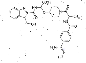 CC(NC(=O)c1ccc(/C(N)=N/O)cc1)C(=O)N1CCC(OC(NC(=O)C2=Nc3ccccc3C2CO)C(=O)O)CC1